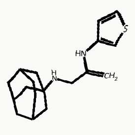 C=C(CNC12CC3CC(CC(C3)C1)C2)Nc1ccsc1